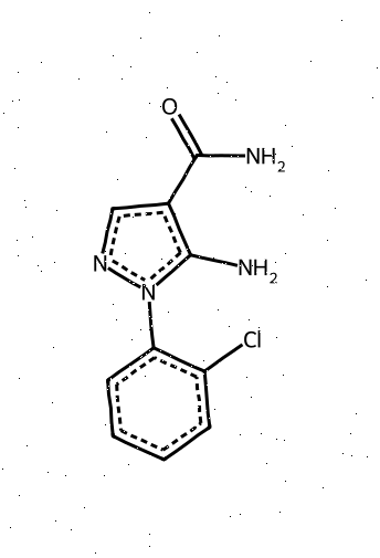 NC(=O)c1cnn(-c2ccccc2Cl)c1N